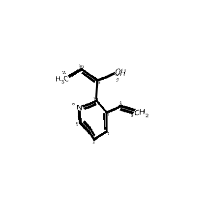 C=Cc1cccnc1/C(O)=C\C